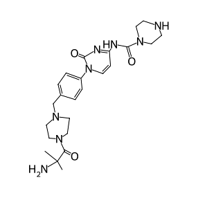 CC(C)(N)C(=O)N1CCN(Cc2ccc(-n3ccc(NC(=O)N4CCNCC4)nc3=O)cc2)CC1